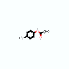 Cc1ccc(OC(=O)C=O)cc1